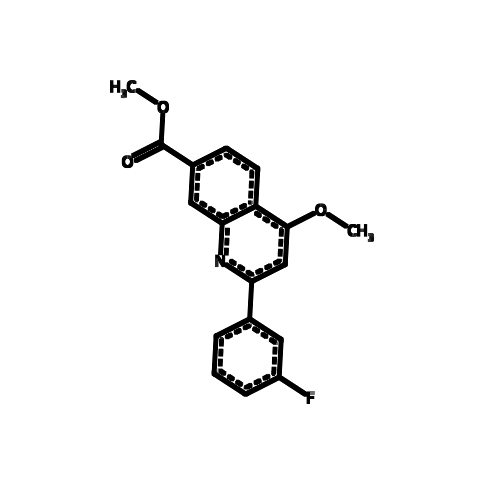 COC(=O)c1ccc2c(OC)cc(-c3cccc(F)c3)nc2c1